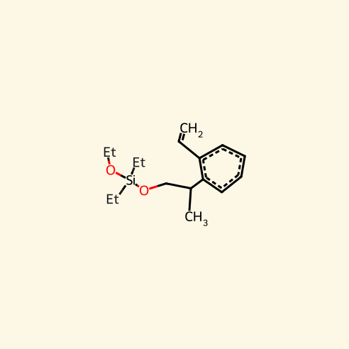 C=Cc1ccccc1C(C)CO[Si](CC)(CC)OCC